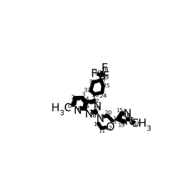 Cc1ccc2c(n1)nc(N1CCO[C@@H](c3cnn(C)c3)C1)nc2[C@H]1CC[C@H](C(F)(F)F)CC1